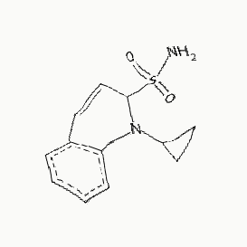 NS(=O)(=O)C1C=Cc2ccccc2N1C1CC1